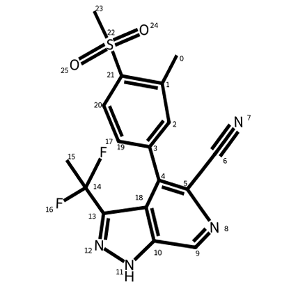 Cc1cc(-c2c(C#N)ncc3[nH]nc(C(C)(F)F)c23)ccc1S(C)(=O)=O